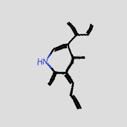 C=C/C=C1\C(=C)NC=C(C(=C)C=C)C1C